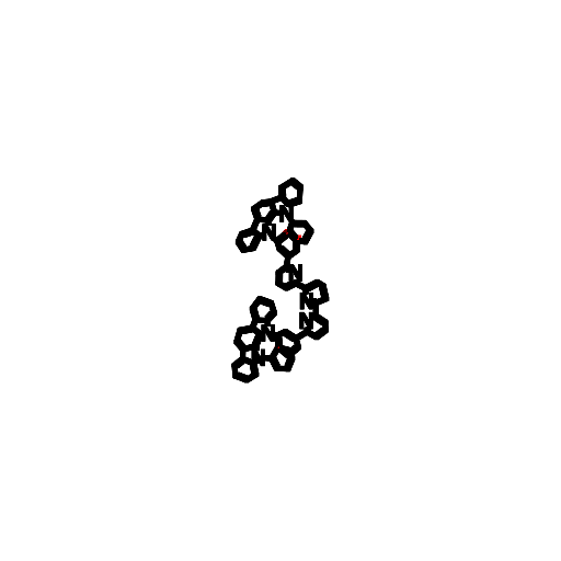 c1ccc(-n2c3ccccc3c3ccc4c5ccccc5n(-c5cccc(-c6cccc(-c7cccc(-c8cccc(-c9cccc(-n%10c%11ccccc%11c%11ccc%12c%13ccccc%13n(-c%13ccccc%13)c%12c%11%10)c9)n8)n7)n6)c5)c4c32)cc1